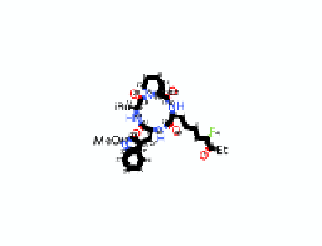 CCC(=O)C(F)CCCC[C@@H]1NC(=O)[C@H]2CCCCN2C(=O)[C@H](C(C)CC)NC(=O)[C@H](Cc2cn(OC)c3ccccc23)NC1=O